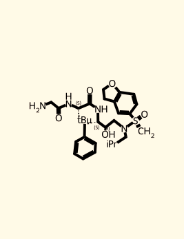 C=S(=O)(c1ccc2c(c1)CCO2)N(CC(C)C)C[C@@H](O)[C@H](Cc1ccccc1)NC(=O)[C@@H](NC(=O)CN)C(C)(C)C